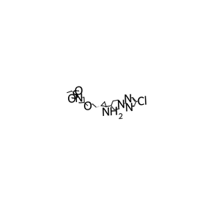 CCS(=O)(=O)N1CC(OCC[C@@H]2C[C@]2(N)C2CCN(c3ncc(Cl)cn3)CC2)C1